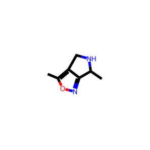 Cc1onc2c1CNC2C